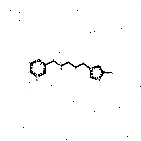 Cc1cn(CCCNCc2cccnc2)cn1